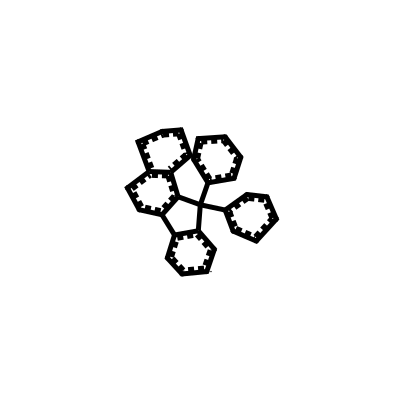 [c]1ccc2c(c1)C(c1ccccc1)(c1ccccc1)c1c-2ccc2ccccc12